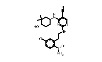 CC1(C)C[C@H](Nc2nc(NCCc3cc(Cl)ccc3[S+](N)[O-])ncc2C#N)CC[C@@H]1O